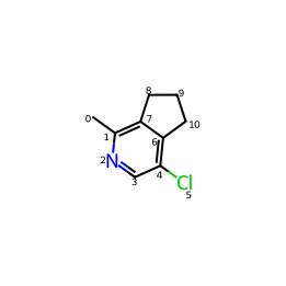 Cc1ncc(Cl)c2c1CCC2